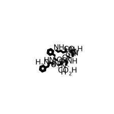 C[C@H](NC(=O)[C@H](CC(=O)O)NC(=O)[C@H](Cc1ccccc1)NC(=O)[C@@H](N)Cc1ccccc1)C(=O)N[C@@H](Cc1c[nH]cn1)C(=O)N[C@@H](CCCCN)C(=O)O